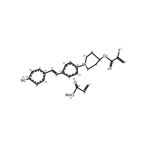 C=C(F)C(=O)OC1CCN(c2ccc(C=Cc3ccc(C#N)cc3)cc2)CC1.C=CC(=O)OC